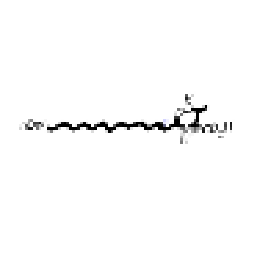 CCCCCCCCCCCCCCCCCCCCC/C=C/C(=O)N[C@H](C(=O)O)C(C)O